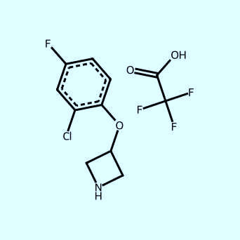 Fc1ccc(OC2CNC2)c(Cl)c1.O=C(O)C(F)(F)F